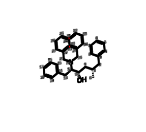 C[C@@H](Cc1ccccc1)C[C@H](O)[C@@H](Cc1ccccc1)N(Cc1ccccc1)Cc1ccccc1